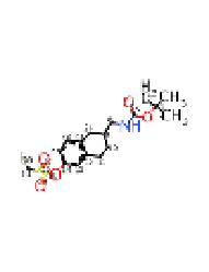 CC(C)(C)OC(=O)NCC1CCc2cc(OS(=O)(=O)CF)ccc2C1